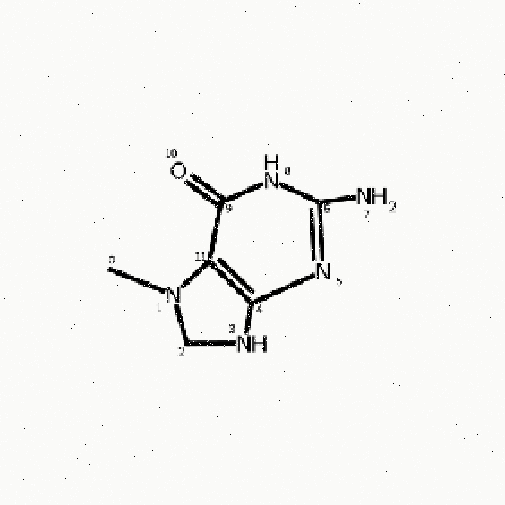 CN1CNc2nc(N)[nH]c(=O)c21